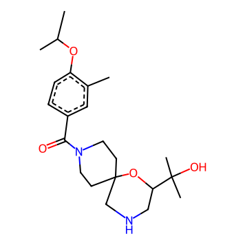 Cc1cc(C(=O)N2CCC3(CC2)CNCC(C(C)(C)O)O3)ccc1OC(C)C